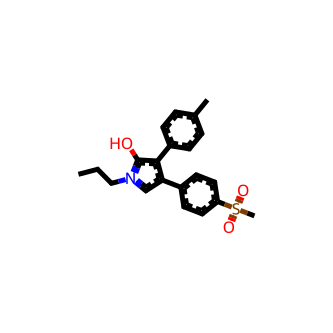 CCCn1cc(-c2ccc(S(C)(=O)=O)cc2)c(-c2ccc(C)cc2)c1O